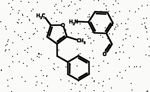 Cc1cc(Cc2ccccc2)c(C)o1.Nc1cccc(C=O)c1